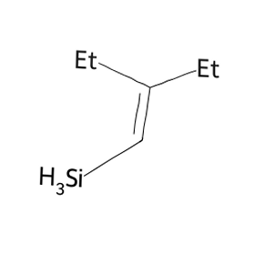 CCC(=C[SiH3])CC